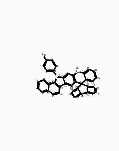 Fc1ccc(-n2c3cc4c(cc3c3ccc5ccccc5c32)C2(c3ccccc3O4)c3ccccc3-c3ccccc32)cc1